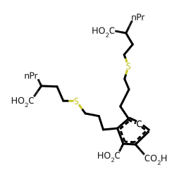 CCCC(CCSCCCc1ccc(C(=O)O)c(C(=O)O)c1CCCSCCC(CCC)C(=O)O)C(=O)O